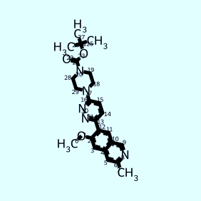 COc1cc2cc(C)ncc2cc1-c1ccc(N2CCN(C(=O)OC(C)(C)C)CC2)nn1